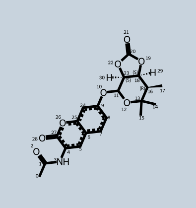 CC(=O)Nc1cc2ccc(OC3OC(C)(C)[C@H](C)[C@@H]4OC(=O)O[C@H]34)cc2oc1=O